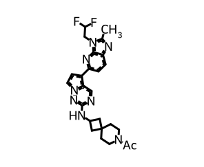 CC(=O)N1CCC2(CC1)CC(Nc1ncc3c(-c4ccc5nc(C)n(CC(F)F)c5n4)ccn3n1)C2